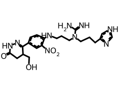 N=C(N)N(CCCNc1ccc(C2=NNC(=O)CC2CO)cc1[N+](=O)[O-])CCCc1c[nH]cn1